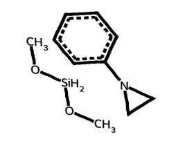 CO[SiH2]OC.c1ccc(N2CC2)cc1